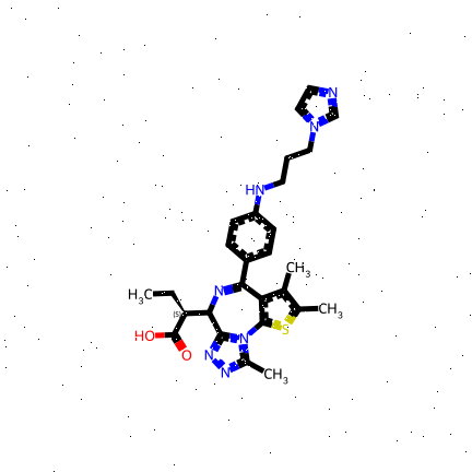 CC[C@H](C(=O)O)C1N=C(c2ccc(NCCCn3ccnc3)cc2)c2c(sc(C)c2C)-n2c(C)nnc21